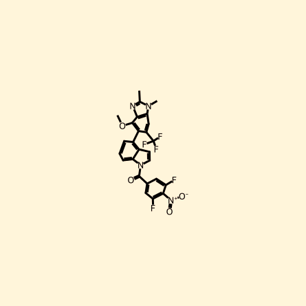 COc1c(-c2cccc3c2ccn3C(=O)c2cc(F)c([N+](=O)[O-])c(F)c2)c(C(F)(F)F)cc2c1nc(C)n2C